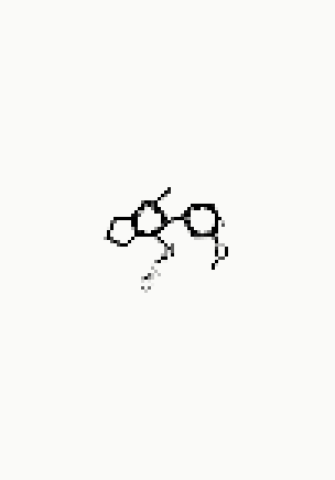 COc1cc(-c2c(C)cc3c(c2N=C=O)CCC3)ccn1